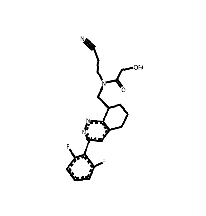 N#CCCN(CC1CCCc2cc(-c3c(F)cccc3F)nnc21)C(=O)CO